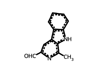 Cc1nc(C=O)cc2c1[nH]c1ccccc12